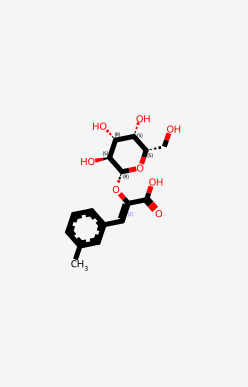 Cc1cccc(/C=C(\O[C@H]2O[C@@H](CO)[C@@H](O)[C@@H](O)[C@@H]2O)C(=O)O)c1